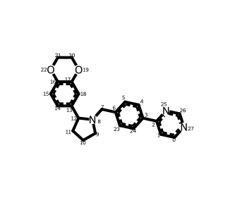 c1cc(-c2ccc(CN3CCCC3c3ccc4c(c3)OCCO4)cc2)ncn1